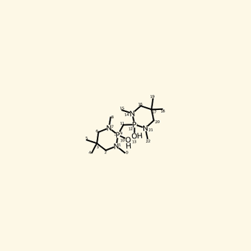 CN1CC(C)(C)CN(C)[P]1(O)C[P]1(O)N(C)CC(C)(C)CN1C